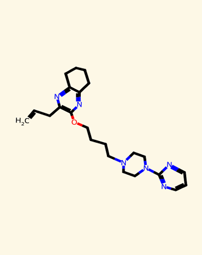 C=CCc1nc2c(nc1OCCCCN1CCN(c3ncccn3)CC1)CCCC2